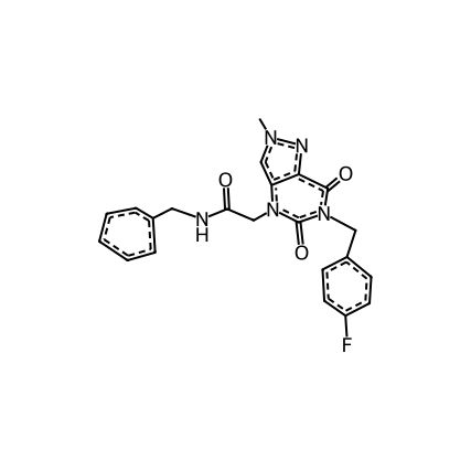 Cn1cc2c(n1)c(=O)n(Cc1ccc(F)cc1)c(=O)n2CC(=O)NCc1ccccc1